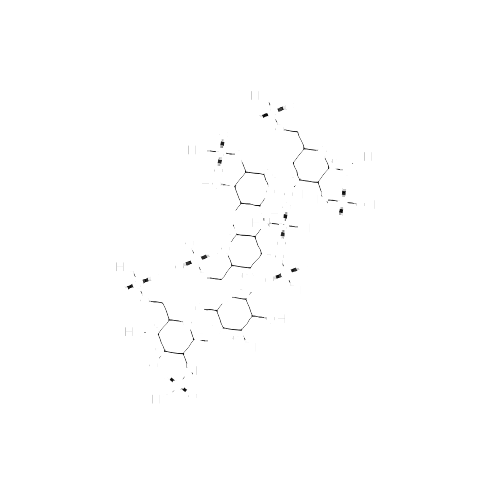 CO[C@@H]1OC(COS(=O)(=O)O)[C@@H](O[C@@H]2OC(C)C(O[C@@H]3OC(COS(=O)(=O)O)[C@@H](O[C@@H]4OC(C)[C@@H](O[C@@H]5OC(COS(=O)(=O)O)[C@@H](O)[C@H](O)C5NS(=O)(=O)O)[C@H](O)C4O)[C@@H](OS(=O)(=O)O)C3NS(=O)(=O)O)[C@@H](O)C2OS(=O)(=O)O)[C@H](O)C1NS(=O)(=O)O